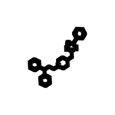 c1ccc(-c2nc(CC3CCN(CCC(c4ccccc4)c4ccccc4)CC3)no2)cc1